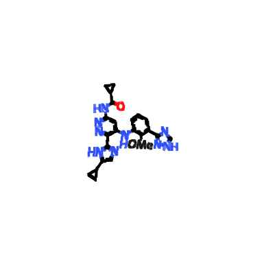 COc1c(Nc2cc(NC(=O)C3CC3)nnc2-c2ncc(C3CC3)[nH]2)cccc1-c1nc[nH]n1